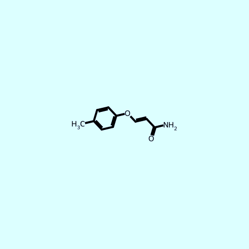 Cc1ccc(O/C=C/C(N)=O)cc1